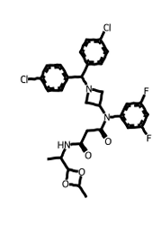 CC1OC(C(C)NC(=O)CC(=O)N(c2cc(F)cc(F)c2)C2CN(C(c3ccc(Cl)cc3)c3ccc(Cl)cc3)C2)O1